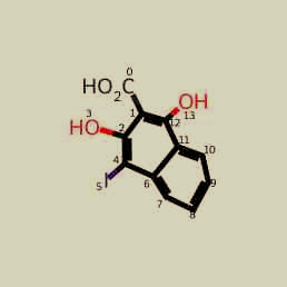 O=C(O)c1c(O)c(I)c2ccccc2c1O